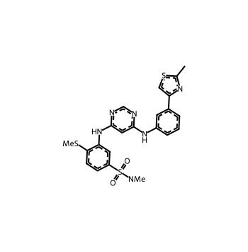 CNS(=O)(=O)c1ccc(SC)c(Nc2cc(Nc3cccc(-c4csc(C)n4)c3)ncn2)c1